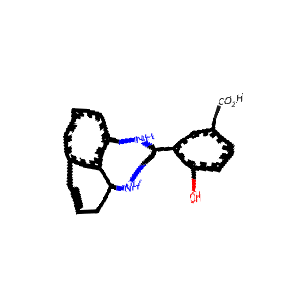 O=C(O)c1ccc(O)c(C2Nc3cccc4c3C(CC=C4)N2)c1